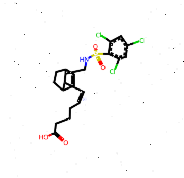 O=C(O)CCC/C=C\C1C2C=CC(CC2)C1CNS(=O)(=O)c1c(Cl)cc(Cl)cc1Cl